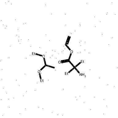 C=COC(=O)C(N)(CC)CC.CCOC(C)OCC